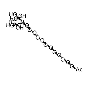 CC(=O)CCOCCOCCOCCOCCOCCOCCOCCOCCOCCOCCOCCOCCN(CC[C@@H](O)[C@@H](O)CO)CC[C@@H](O)[C@@H](O)CO